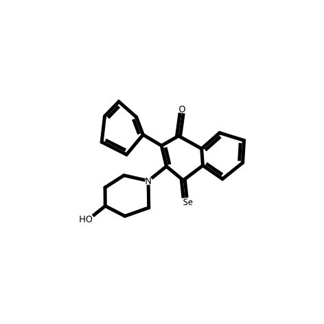 O=C1C(c2ccccc2)=C(N2CCC(O)CC2)C(=[Se])c2ccccc21